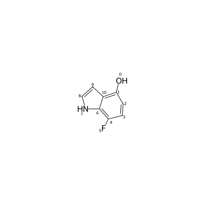 Oc1ccc(F)c2[nH]ccc12